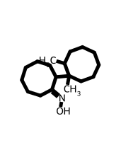 CC1CCCCCCC1(C)C1CCCCCCC1=NO